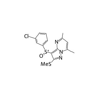 CSc1nn2c(C)cc(C)nc2c1[S+]([O-])c1cccc(Cl)c1